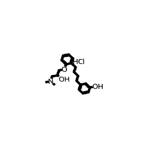 CN(C)CC(O)COc1ccccc1CCCCc1cccc(O)c1.Cl